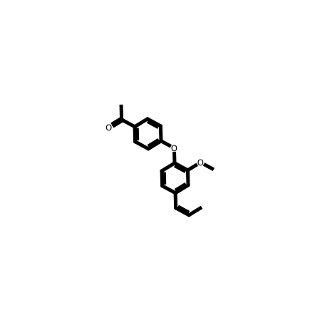 C/C=C\c1ccc(Oc2ccc(C(C)=O)cc2)c(OC)c1